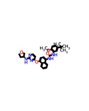 COc1ccc(C(C)(C)C)cc1NC(=O)Nc1ccc(Oc2ccnc(NC3CCOC3)n2)c2ccccc12